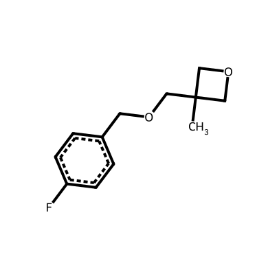 CC1(COCc2ccc(F)cc2)COC1